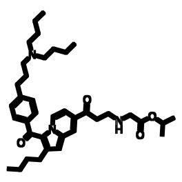 CCCCc1cc2cc(C(=O)CCNCC(=O)OC(C)C)ccn2c1C(=O)c1ccc(CCCN(CCCC)CCCC)cc1